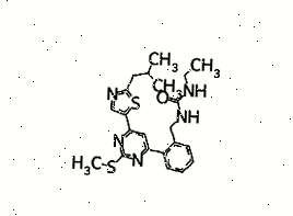 CCNC(=O)NCc1ccccc1-c1cc(-c2cnc(CC(C)C)s2)nc(SC)n1